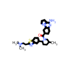 CC1CCC(c2ccc3sc(CCN(C)C)nc3c2)N(C(=O)c2ccc3nc(N)c4cccn4c3c2)C1